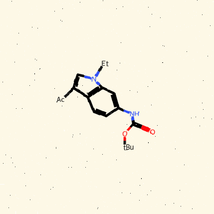 CCn1cc(C(C)=O)c2ccc(NC(=O)OC(C)(C)C)cc21